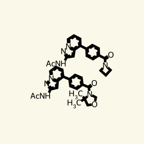 CC(=O)Nc1cc2c(-c3ccc(C(=O)N4CCC4)cc3)cccn2n1.CC(=O)Nc1cc2c(-c3ccc(C(=O)N4COCC4(C)C)cc3)cccn2n1